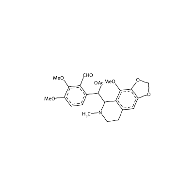 COc1ccc(C(OC(C)=O)C2c3c(cc4c(c3OC)OCO4)CCN2C)c(C=O)c1OC